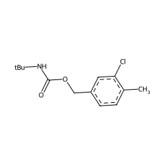 Cc1ccc(COC(=O)NC(C)(C)C)cc1Cl